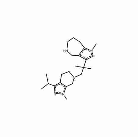 CC(C)c1nn(C)c2c1CCN(CC(C)(C)c1nn(C)c3c1CNCCC3)C2